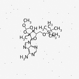 COC1O[C@@H]2C(CO[Si](C)(C)C(C)(C)C)O[C@@H](n3cnc4c(N)ncnc43)[C@]2(C)O1